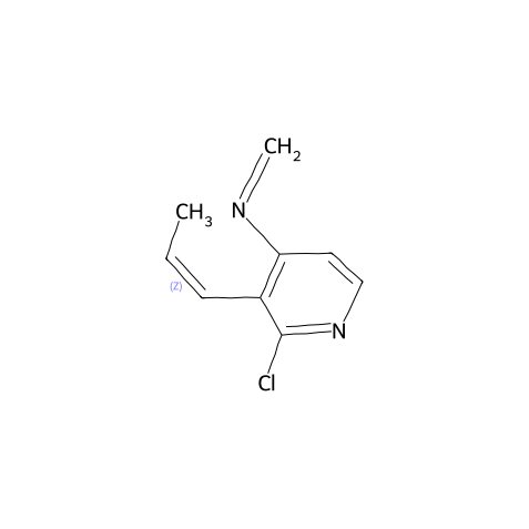 C=Nc1ccnc(Cl)c1/C=C\C